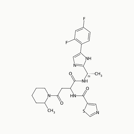 CC1CCCCN1C(=O)CC(NC(=O)c1cncs1)C(=O)N[C@@H](C)c1ncc(-c2ccc(F)cc2F)[nH]1